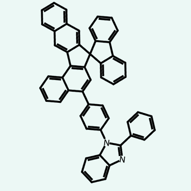 c1ccc(-c2nc3ccccc3n2-c2ccc(-c3cc4c(c5ccccc35)-c3cc5ccccc5cc3C43c4ccccc4-c4ccccc43)cc2)cc1